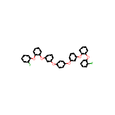 Fc1ccccc1Oc1ccccc1Oc1cccc(Oc2ccc(Oc3cccc(Oc4ccccc4Oc4ccccc4F)c3)cc2)c1